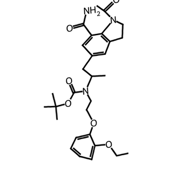 CCOc1ccccc1OCCN(C(=O)OC(C)(C)C)C(C)Cc1cc2c(c(C(N)=O)c1)N(C(C)=O)CC2